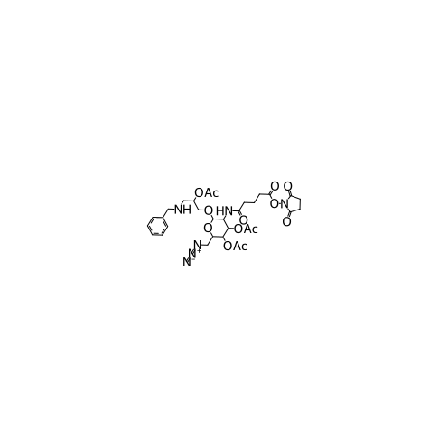 CC(=O)OC(CNCc1ccccc1)COC1OC(CN=[N+]=[N-])C(OC(C)=O)C(OC(C)=O)C1NC(=O)CCCC(=O)ON1C(=O)CCC1=O